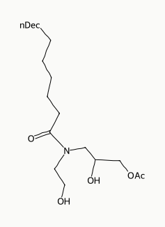 CCCCCCCCCCCCCCCC(=O)N(CCO)CC(O)COC(C)=O